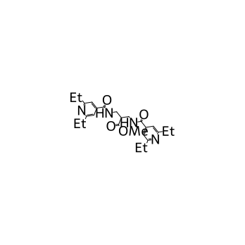 CCc1cc(C(=O)NCC(CNC(=O)c2cc(CC)nc(CC)c2)C(=O)OC)cc(CC)n1